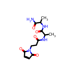 CC(NC(=O)C(C)NC(=O)CCN1C(=O)C=CC1=O)C(N)=O